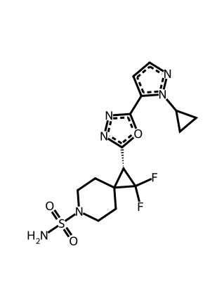 NS(=O)(=O)N1CCC2(CC1)[C@H](c1nnc(-c3ccnn3C3CC3)o1)C2(F)F